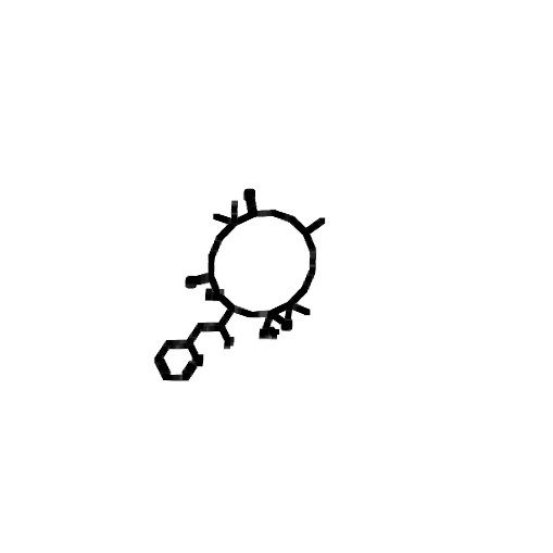 CCCC12CC(C(F)=Cc3ccccn3)NC(=O)CCC(C)(C)C(=O)CCC(C)CCCC1(C)O2